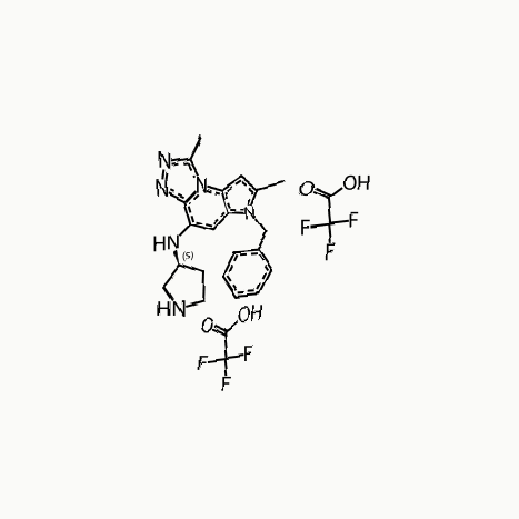 Cc1cc2c(cc(N[C@H]3CCNC3)c3nnc(C)n32)n1Cc1ccccc1.O=C(O)C(F)(F)F.O=C(O)C(F)(F)F